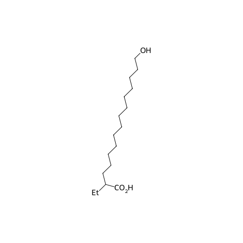 CCC(CCCCCCCCCCCCCO)C(=O)O